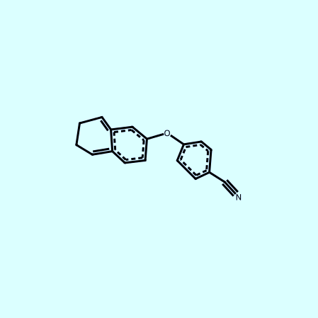 N#Cc1ccc(Oc2ccc3c(c2)=CCCC=3)cc1